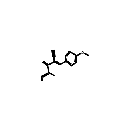 C#C/C(=C\c1ccc(OC)cc1)C(=C)/C(C)=C/C